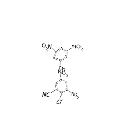 N#Cc1cc([N+](=O)[O-])cc([N+](=O)[O-])c1.N#Cc1cc([N+](=O)[O-])cc([N+](=O)[O-])c1Cl